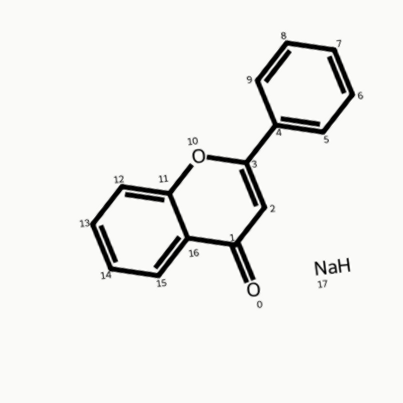 O=c1cc(-c2ccccc2)oc2ccccc12.[NaH]